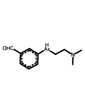 CN(C)CC[AsH]c1cccc(C=O)c1